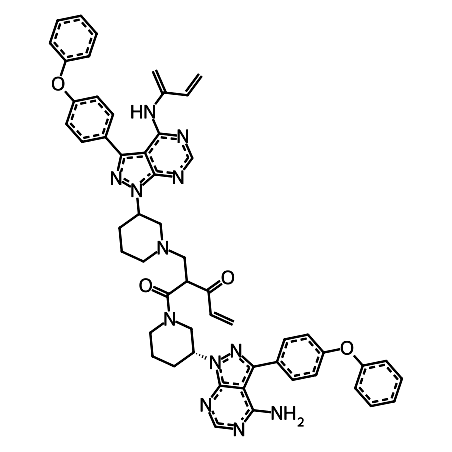 C=CC(=C)Nc1ncnc2c1c(-c1ccc(Oc3ccccc3)cc1)nn2C1CCCN(CC(C(=O)C=C)C(=O)N2CCC[C@@H](n3nc(-c4ccc(Oc5ccccc5)cc4)c4c(N)ncnc43)C2)C1